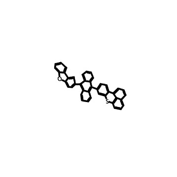 c1cc2c3c(cccc3c1)-c1ccc(-c3c4ccccc4c(-c4ccc5oc6ccccc6c5c4)c4ccccc34)cc1S2